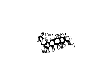 COc1cc(CN2CC[C@H](NC(C)=O)C2)c(F)c2c1C(=O)C1=C(O)[C@]3(O)C(=O)C(C(N)=O)=C(O)[C@@H](N(C)C)[C@@H]3C[C@@H]1C2